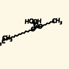 CCCCCCCCOCC(COCCCCCCCCCCCCCCCC(C)C)OCC(O)CO